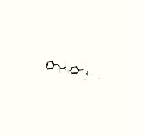 NNC(=O)c1ccc(NC(=O)CCc2ccccc2)cc1